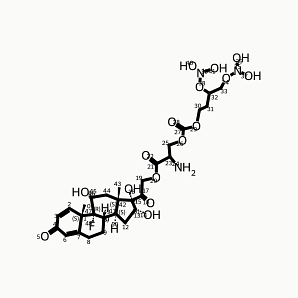 C[C@]12C=CC(=O)C=C1CC[C@H]1[C@@H]3C[C@@H](O)[C@](O)(C(=O)COC(=O)C(N)COC(=O)OCCC(CON(O)O)ON(O)O)[C@@]3(C)C[C@H](O)[C@@]12F